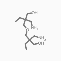 CCC(CN)(CO)COCC(CC)(CN)CO